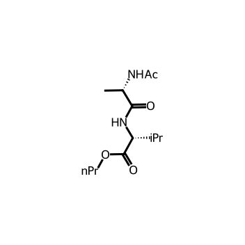 CCCOC(=O)[C@H](NC(=O)[C@H](C)NC(C)=O)C(C)C